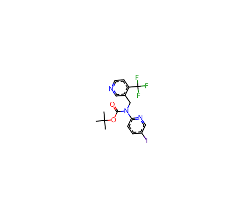 CC(C)(C)OC(=O)N(Cc1cnccc1C(F)(F)F)c1ccc(I)cn1